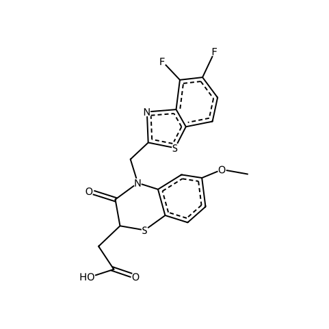 COc1ccc2c(c1)N(Cc1nc3c(F)c(F)ccc3s1)C(=O)C(CC(=O)O)S2